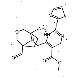 COC(=O)C1=C(CN2C3(N)CCC2(C=O)COC3)NC(c2nccs2)=NC1